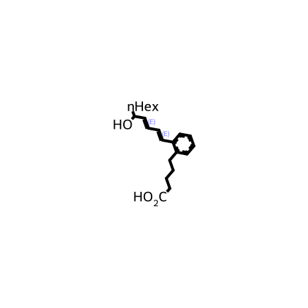 CCCCCCC(O)/C=C/C=C/c1ccccc1CCCCC(=O)O